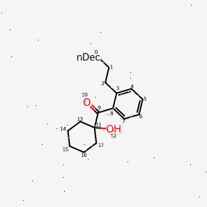 CCCCCCCCCCCCc1ccccc1C(=O)C1(O)CCCCC1